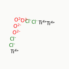 [Cl-].[Cl-].[Cl-].[Cl-].[O-2].[O-2].[O-2].[O-2].[Ti+4].[Ti+4].[Ti+4]